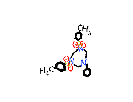 Cc1ccc(S(=O)(=O)N2CCCN(Cc3ccccc3)CCCN(S(=O)(=O)c3ccc(C)cc3)CCC2)cc1